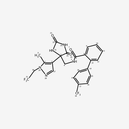 Cc1c(C2(CNC(=O)c3ccccc3-c3ccc(C(F)(F)F)cc3)NC(=O)NC2=O)cnn1CC(F)(F)F